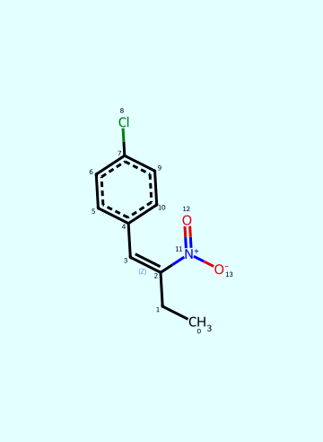 CC/C(=C/c1ccc(Cl)cc1)[N+](=O)[O-]